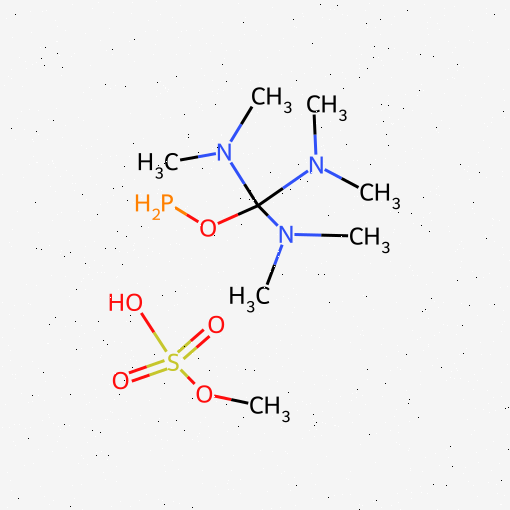 CN(C)C(OP)(N(C)C)N(C)C.COS(=O)(=O)O